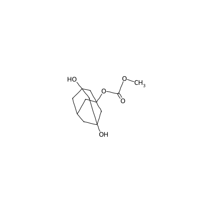 COC(=O)OC12CC3CC(O)(CC(O)(C3)C1)C2